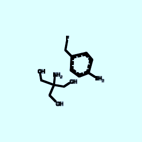 Bc1ccc(CF)cc1.NC(CO)(CO)CO